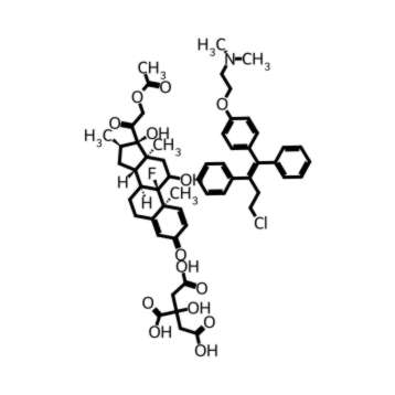 CC(=O)OCC(=O)[C@@]1(O)[C@H](C)C[C@H]2[C@@H]3CCC4=CC(=O)C=C[C@]4(C)[C@@]3(F)C(O)C[C@@]21C.CN(C)CCOc1ccc(/C(=C(/CCCl)c2ccccc2)c2ccccc2)cc1.O=C(O)CC(O)(CC(=O)O)C(=O)O